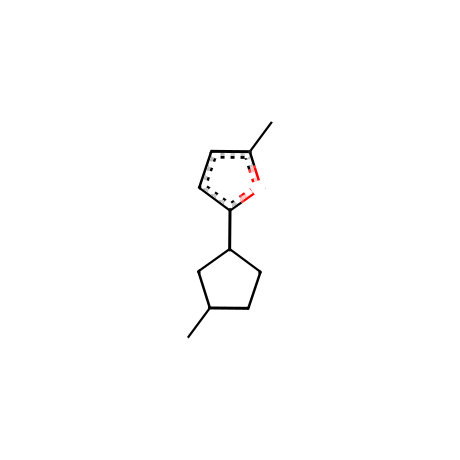 Cc1ccc(C2CCC(C)C2)o1